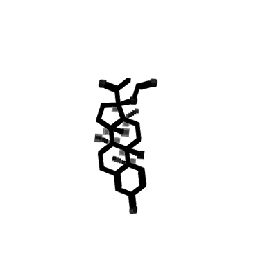 CC(=O)[C@@]1(OC=O)CC[C@H]2[C@@H]3CCC4=CC(=O)C=C[C@]4(C)[C@H]3CC[C@@]21C